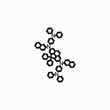 c1ccc(N(c2ccccc2)c2ccc(N(c3ccc4ccccc4c3)c3cc4c5c(ccc6cc(N(c7ccc(N(c8ccccc8)c8ccccc8)cc7)c7ccc8ccccc8c7)cc(c65)C4(c4ccccc4)c4ccccc4)c3)cc2)cc1